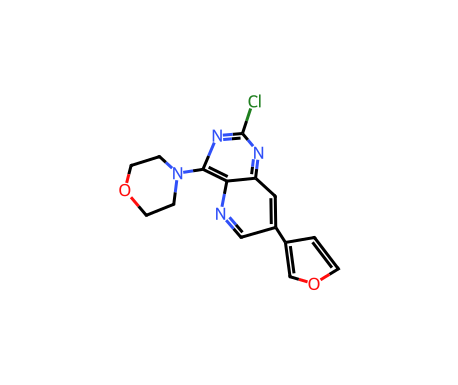 Clc1nc(N2CCOCC2)c2ncc(-c3ccoc3)cc2n1